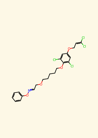 ClC(Cl)=CCOc1cc(Cl)c(OCCCCCOC/C=N/Oc2ccccc2)c(Cl)c1